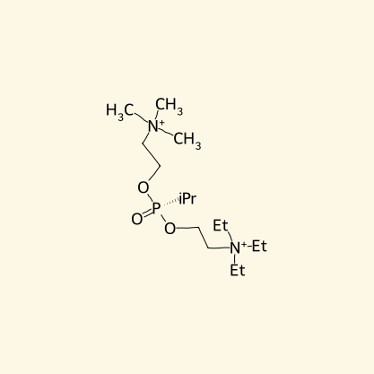 CC[N+](CC)(CC)CCO[P@@](=O)(OCC[N+](C)(C)C)C(C)C